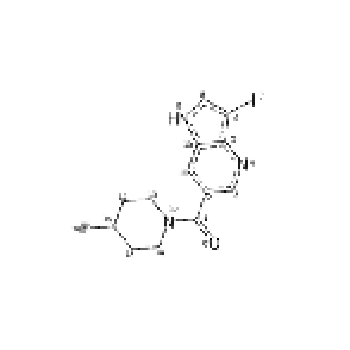 O=C(c1cnc2c(I)c[nH]c2c1)N1CCC(F)CC1